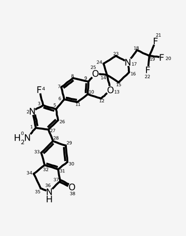 Nc1nc(F)c(-c2ccc3c(c2)COC2(CCN(CC(F)(F)F)CC2)O3)cc1-c1ccc2c(c1)CCNC2=O